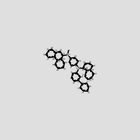 CN(c1ccc(N(c2cccc(-c3ccccc3)c2)c2cccc3ccccc23)cc1)c1cc2ccccc2c2ccccc12